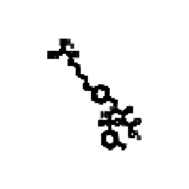 N=C(N)NOCCCOc1ccc(C[C@H](NS(=O)(=O)c2cccc(F)c2)C(=O)OC(=O)C(F)(F)F)cc1